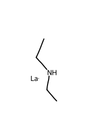 CCNCC.[La]